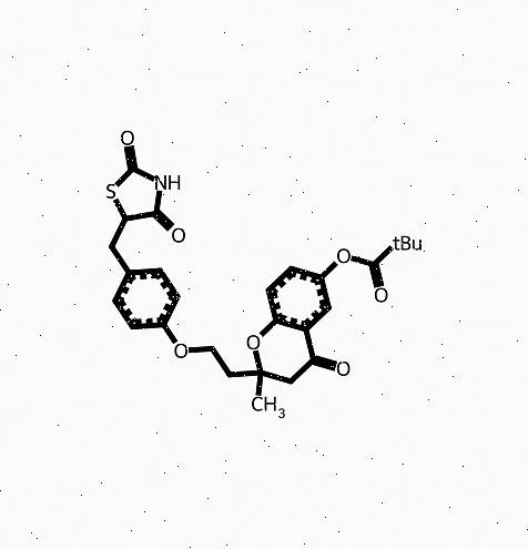 CC1(CCOc2ccc(CC3SC(=O)NC3=O)cc2)CC(=O)c2cc(OC(=O)C(C)(C)C)ccc2O1